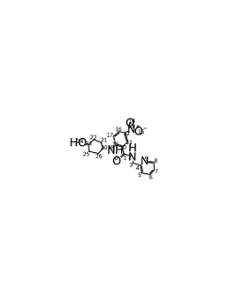 O=C(NCc1ccccn1)c1cc([N+](=O)[O-])ccc1N[C@H]1CC[C@H](O)CC1